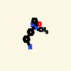 CCN1C(=O)C2(CCCC2)N=C1c1ccc(-c2cccc(C#N)c2)cc1